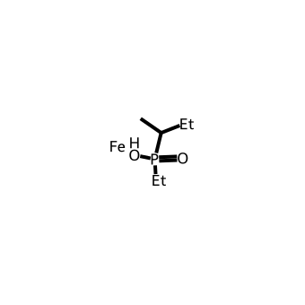 CCC(C)P(=O)(O)CC.[Fe]